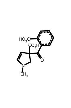 CN1C=CC(C(=O)O)(C(=O)c2ccccc2C(=O)O)C1